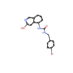 O=C(NCc1ccc(Br)cc1)Nc1cccc2cnc(O)cc12